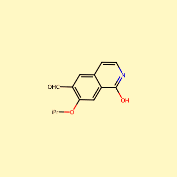 CC(C)Oc1cc2c(O)nccc2cc1C=O